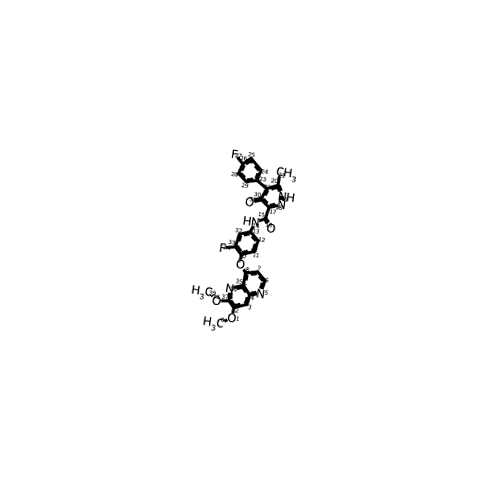 COc1cc2nccc(Oc3ccc(NC(=O)c4n[nH]c(C)c(-c5ccc(F)cc5)c4=O)cc3F)c2nc1OC